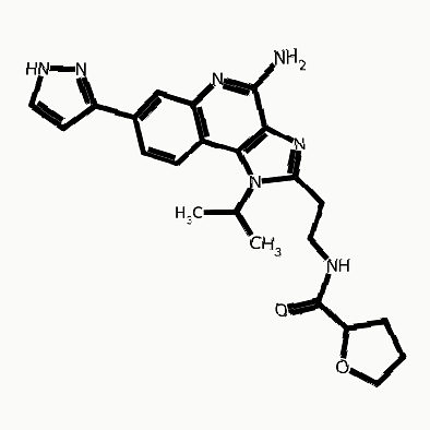 CC(C)n1c(CCNC(=O)C2CCCO2)nc2c(N)nc3cc(-c4cc[nH]n4)ccc3c21